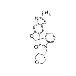 Cc1nc2cc3c(cc2s1)C1(CO3)C(=O)N(CC2CCOCC2)c2ccccc21